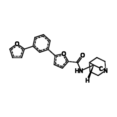 O=C(N[C@H]1CN2CCC1CC2)c1ccc(-c2cccc(-c3ccco3)c2)o1